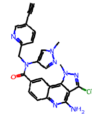 C#Cc1ccc(CN(C(=O)c2ccc3nc(N)c4c(Cl)nn(C)c4c3c2)c2cnn(C)c2)nc1